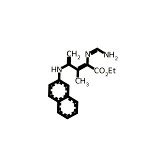 C=C(Nc1ccc2ccccc2c1)/C(C)=C(\N=C/N)C(=O)OCC